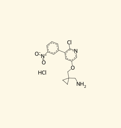 Cl.NCC1(COc2cnc(Cl)c(-c3cccc([N+](=O)[O-])c3)c2)CC1